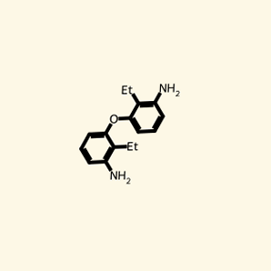 CCc1c(N)cccc1Oc1cccc(N)c1CC